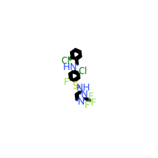 Fc1cc(NCc2ccccc2Cl)c(Cl)cc1SNc1ccnc(C(F)(F)F)n1